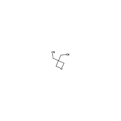 N#CCC1(CC#N)COC1